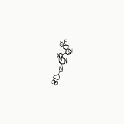 COc1cc2c(-c3cnn4cc(N5CC(C6CCS(=O)(=O)CC6)C5)cnc34)ccnc2cc1F